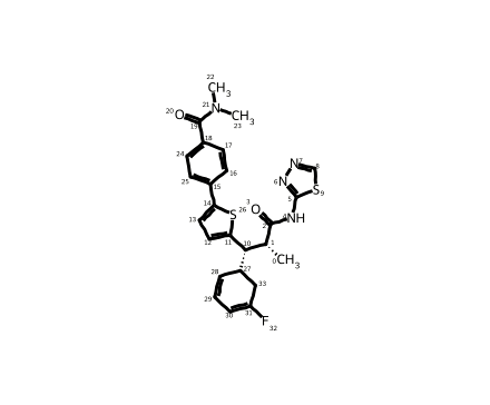 C[C@@H](C(=O)Nc1nncs1)[C@@H](c1ccc(-c2ccc(C(=O)N(C)C)cc2)s1)C1C=CC=C(F)C1